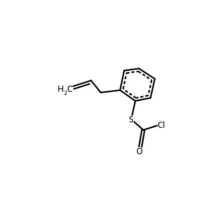 C=CCc1ccccc1SC(=O)Cl